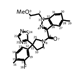 COCCn1nc(C(=O)N2CCC(c3ccc(C)c(F)c3)(c3ncns3)C2)c2cc(C)ccc21